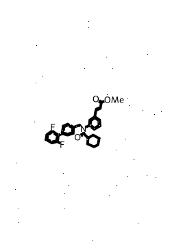 COC(=O)/C=C/c1cccc(N(Cc2ccc(-c3c(F)cccc3F)cc2)C(=O)C2CCCCC2)c1